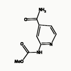 COC(=O)Nc1cc(C(N)=O)ccn1